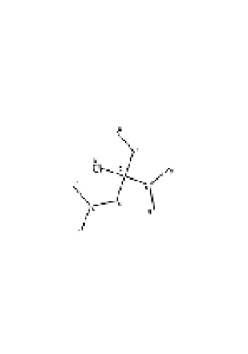 CCC(Cl)(CC(C)C)C(C)C